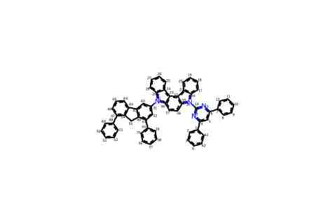 c1ccc(-c2cc(-c3ccccc3)nc(-n3c4ccccc4c4c5c6ccccc6n(-c6cc(-c7ccccc7)c7c(c6)-c6cccc(-c8ccccc8)c6C7)c5ccc43)n2)cc1